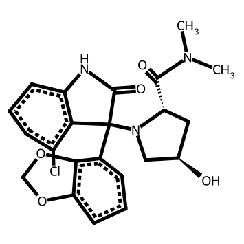 CN(C)C(=O)[C@@H]1C[C@@H](O)CN1C1(c2cccc3c2OCO3)C(=O)Nc2cccc(Cl)c21